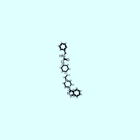 O=C(NCc1ccccc1)O[C@H]1CC[C@@H](CCN2CCN(c3nsc4ccccc34)CC2)CC1